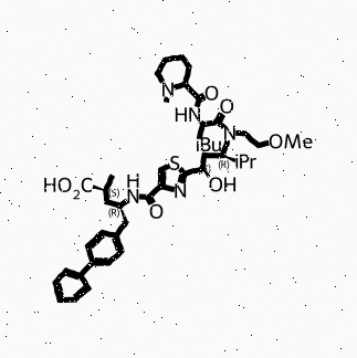 CCC(C)C(NC(=O)C1CCCCN1C)C(=O)N(CCOC)[C@H](C[C@@H](O)c1nc(C(=O)N[C@@H](Cc2ccc(-c3ccccc3)cc2)C[C@H](C)C(=O)O)cs1)C(C)C